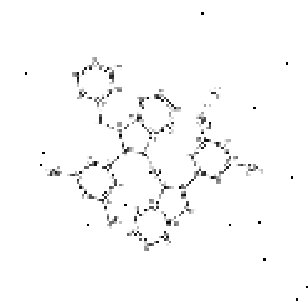 CC(C)(C)c1cc(C2=[C]([Zr+2][CH]3C(c4cc(C(F)(F)F)cc(C(F)(F)F)c4)=Cc4ccccc43)c3ccccc3C2Cc2ccccc2)cc(C(C)(C)C)c1.[Cl-].[Cl-]